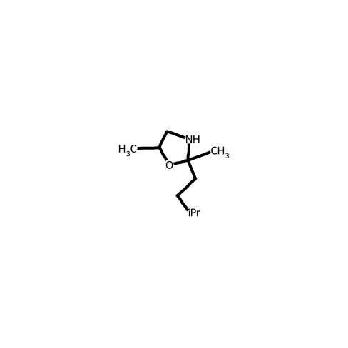 CC(C)CCC1(C)NCC(C)O1